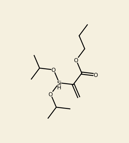 C=C(C(=O)OCCC)[SiH](OC(C)C)OC(C)C